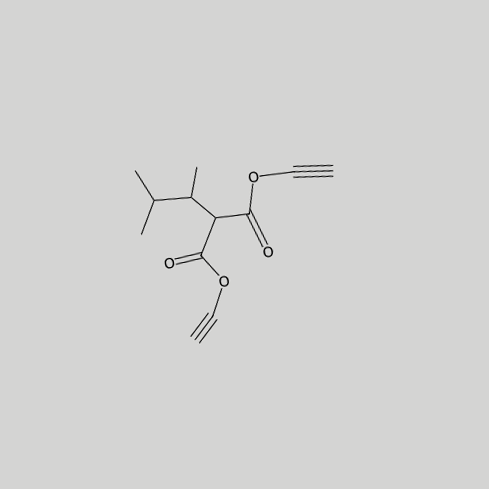 C#COC(=O)C(C(=O)OC#C)C(C)C(C)C